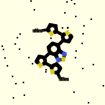 CCCCCCc1ccc(-c2sccc2-c2ccc(-c3ccsc3-c3ccc(CCCCCC)s3)c3nsnc23)s1